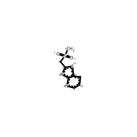 [CH2]S(=O)(=O)Cc1nc2ncccc2s1